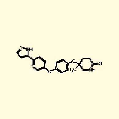 C[C@@]1(Oc2ccc(Oc3ccc(-c4ccn[nH]4)nc3)cc2)CCC(=O)NC1